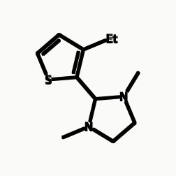 CCc1ccsc1C1N(C)CCN1C